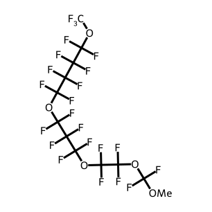 COC(F)(F)OC(F)(F)C(F)(F)OC(F)(F)C(F)(F)C(F)(F)OC(F)(F)C(F)(F)C(F)(F)C(F)(F)OC(F)(F)F